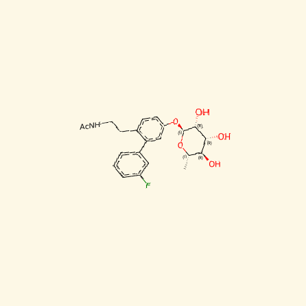 CC(=O)NCCc1ccc(O[C@@H]2O[C@@H](C)[C@H](O)[C@@H](O)[C@H]2O)cc1-c1cccc(F)c1